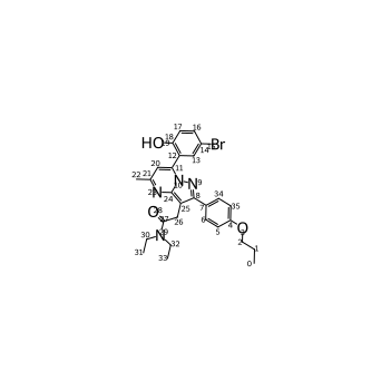 CCCOc1ccc(-c2nn3c(-c4cc(Br)ccc4O)cc(C)nc3c2CC(=O)N(CC)CC)cc1